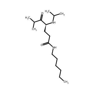 CCCCCCNC(=O)CC[C@H](NC(C)C)C(=O)C(C)C